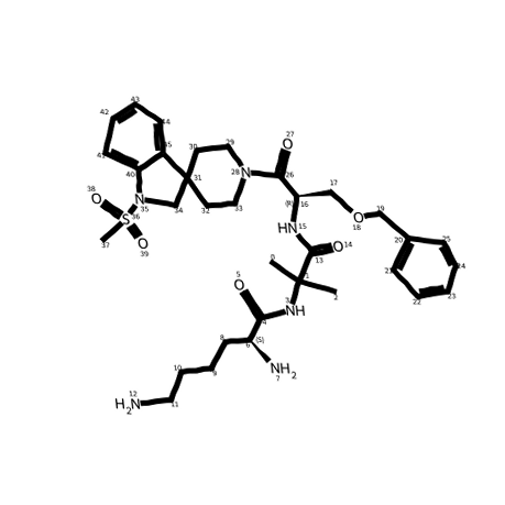 CC(C)(NC(=O)[C@@H](N)CCCCN)C(=O)N[C@H](COCc1ccccc1)C(=O)N1CCC2(CC1)CN(S(C)(=O)=O)c1ccccc12